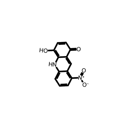 O=c1ccc(O)c2[nH]c3cccc([N+](=O)[O-])c3cc1-2